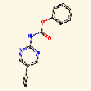 C#Cc1cnc(NC(=O)Oc2ccccc2)nc1